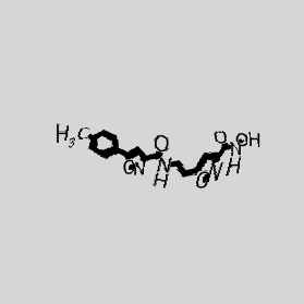 Cc1ccc(-c2cc(C(=O)NCCc3cc(C(=O)NO)no3)no2)cc1